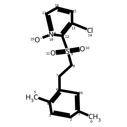 Cc1ccc(C)c(CCS(=O)(=O)c2c(Cl)ccc[n+]2[O-])c1